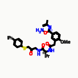 C=C(C)/N=C(\ON)c1ccc(OC)c(CC(=O)N[C@H](C(=O)NCC(=O)CSC2C=CC(C(C)C)=CC2)C(C)C)c1